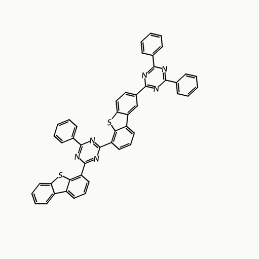 c1ccc(-c2nc(-c3ccccc3)nc(-c3ccc4sc5c(-c6nc(-c7ccccc7)nc(-c7cccc8c7sc7ccccc78)n6)cccc5c4c3)n2)cc1